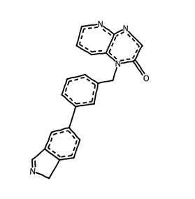 O=c1cnc2ncccc2n1Cc1cccc(-c2ccc3c(c2)C=NC3)c1